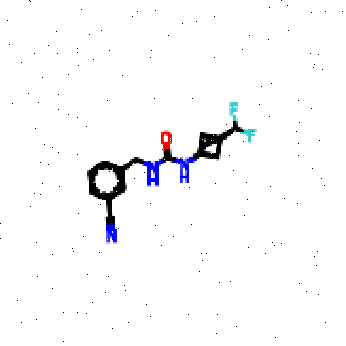 N#Cc1cccc(CNC(=O)NC23CC(C(F)F)(C2)C3)c1